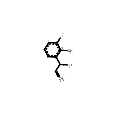 C=CC(O)c1cccc(Cl)c1O